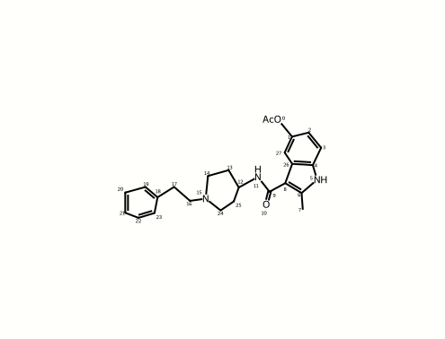 CC(=O)Oc1ccc2[nH]c(C)c(C(=O)NC3CCN(CCc4ccccc4)CC3)c2c1